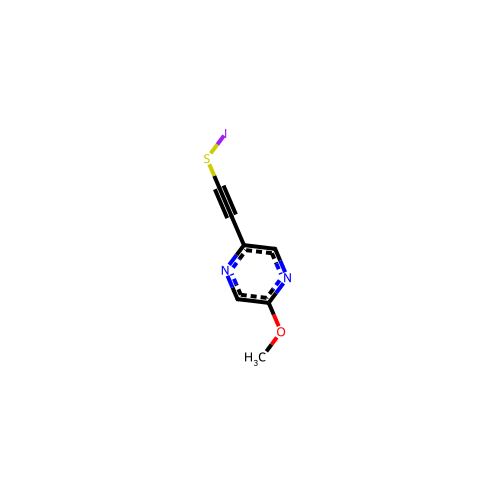 COc1cnc(C#CSI)cn1